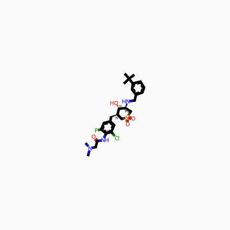 CN(C)CC(=O)Nc1c(F)cc(C[C@@H]2CS(=O)(=O)C[C@H](NCc3cccc(C(C)(C)C)c3)[C@H]2O)cc1Cl